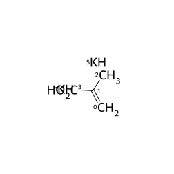 C=C(C)C(=O)O.[KH].[KH]